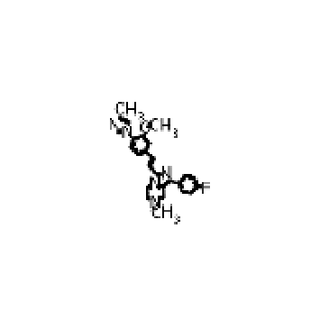 COc1cc(C=Cc2nc(-c3ccc(F)cc3)c3n2CCN(C)C3)ccc1-n1cnc(C)c1